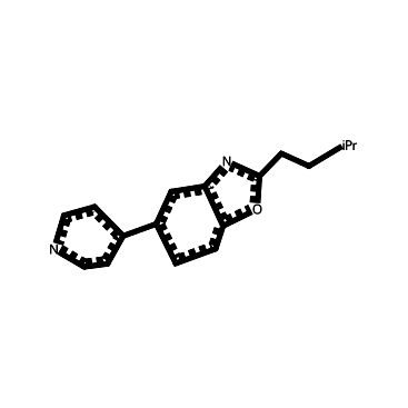 CC(C)CCc1nc2cc(-c3ccncc3)ccc2o1